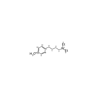 CCN(CC)CCCCc1ccc(C)cc1